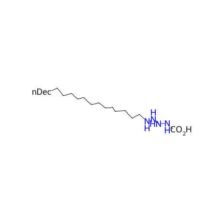 CCCCCCCCCCCCCCCCCCCCCCCNNNNC(=O)O